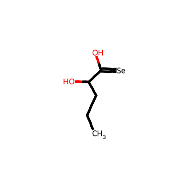 CCCC(O)C(O)=[Se]